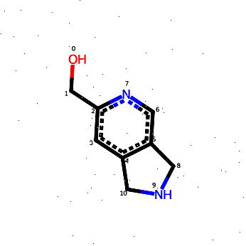 OCc1cc2c(cn1)CNC2